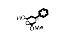 COC(=O)C[C@H](CCO)c1ccccc1